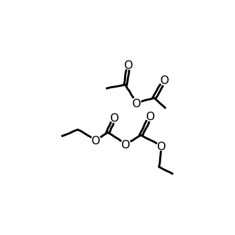 CC(=O)OC(C)=O.CCOC(=O)OC(=O)OCC